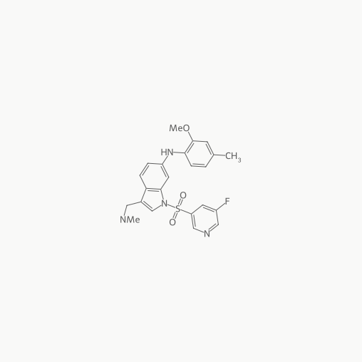 CNCc1cn(S(=O)(=O)c2cncc(F)c2)c2cc(Nc3ccc(C)cc3OC)ccc12